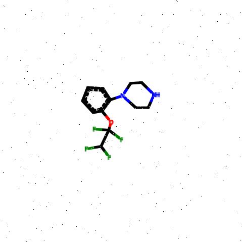 FC(F)C(F)(F)Oc1ccccc1N1CCNCC1